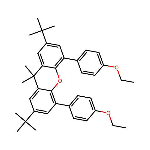 CCOc1ccc(-c2cc(C(C)(C)C)cc3c2Oc2c(-c4ccc(OCC)cc4)cc(C(C)(C)C)cc2C3(C)C)cc1